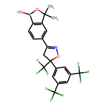 CC1(C)OB(O)c2ccc(C3=NOC(c4cc(C(F)(F)F)cc(C(F)(F)F)c4)(C(F)(F)F)C3)cc21